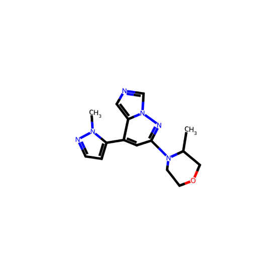 CC1COCCN1c1cc(-c2ccnn2C)c2cncn2n1